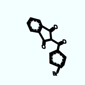 O=C(c1ccc(Br)cc1)C1C(=O)c2ccccc2C1=O